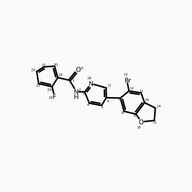 O=C(Nc1ccc(-c2cc3c(cc2Br)CCO3)cn1)c1ccccc1F